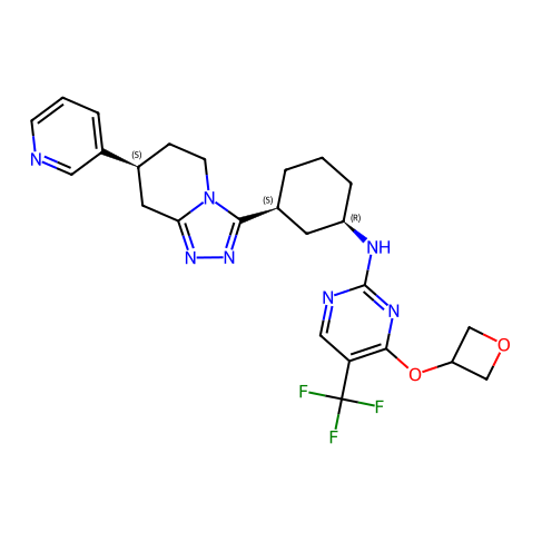 FC(F)(F)c1cnc(N[C@@H]2CCC[C@H](c3nnc4n3CC[C@H](c3cccnc3)C4)C2)nc1OC1COC1